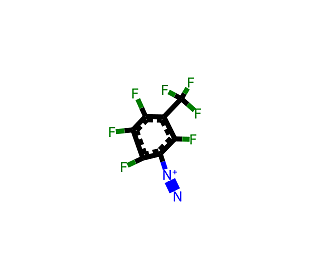 N#[N+]c1c(F)c(F)c(F)c(C(F)(F)F)c1F